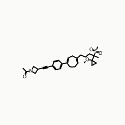 COC1(C(C)(CCCC2=CCCC(c3ccc(C#CC4CN(C(C)=O)C4)cc3)=CC2)S(C)(=O)=O)CC1